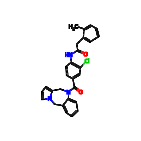 Cc1ccccc1CC(=O)Nc1ccc(C(=O)N2Cc3cccn3Cc3ccccc32)cc1Cl